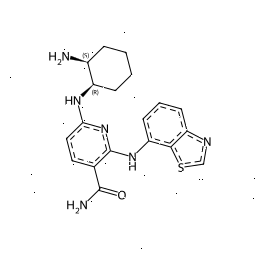 NC(=O)c1ccc(N[C@@H]2CCCC[C@@H]2N)nc1Nc1cccc2ncsc12